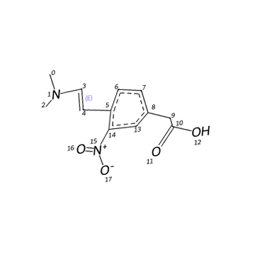 CN(C)/C=C/c1ccc(CC(=O)O)cc1[N+](=O)[O-]